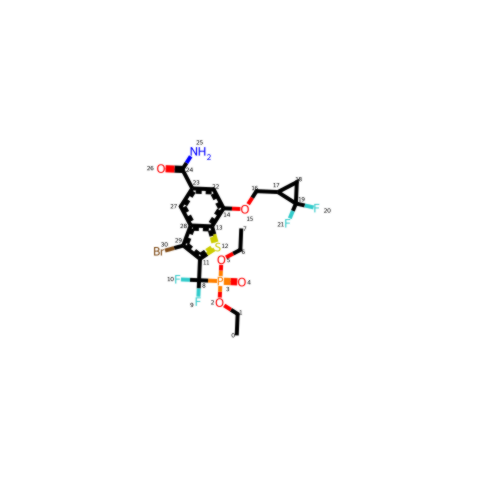 CCOP(=O)(OCC)C(F)(F)c1sc2c(OCC3CC3(F)F)cc(C(N)=O)cc2c1Br